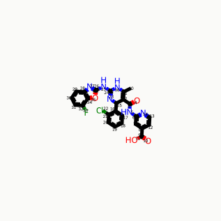 CC1=C(C(=O)Nc2cc(C(=O)O)ccn2)C(c2ccccc2Cl)N=C(Nc2nc3cccc(F)c3o2)N1